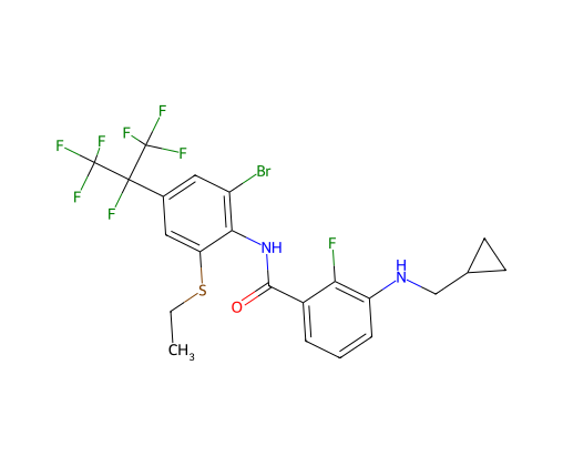 CCSc1cc(C(F)(C(F)(F)F)C(F)(F)F)cc(Br)c1NC(=O)c1cccc(NCC2CC2)c1F